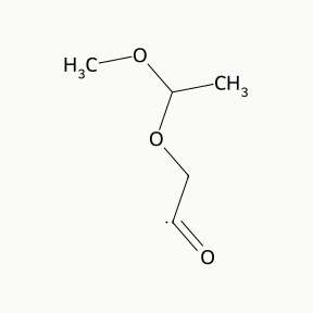 COC(C)OC[C]=O